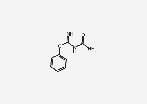 N=C(NC(N)=O)Oc1ccccc1